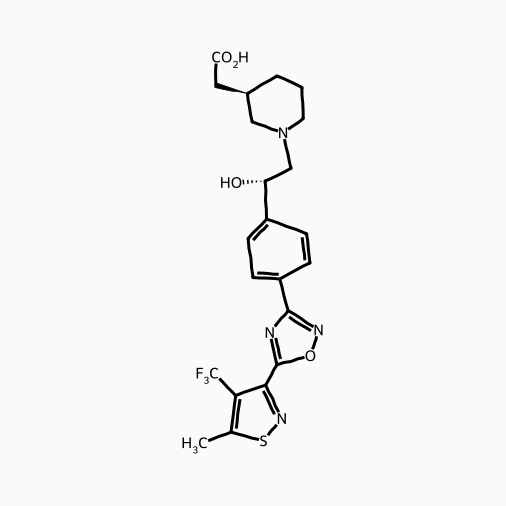 Cc1snc(-c2nc(-c3ccc([C@H](O)CN4CCC[C@H](CC(=O)O)C4)cc3)no2)c1C(F)(F)F